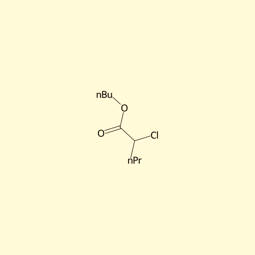 CCCCOC(=O)C(Cl)CCC